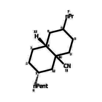 CCCCC[C@@H]1CC[C@@H]2CC(CCC)CCC2(C#N)C1